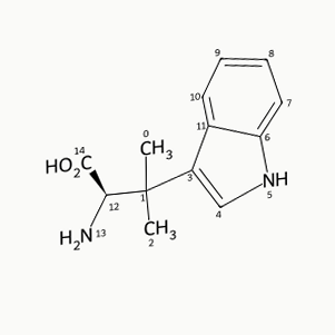 CC(C)(c1c[nH]c2ccccc12)[C@@H](N)C(=O)O